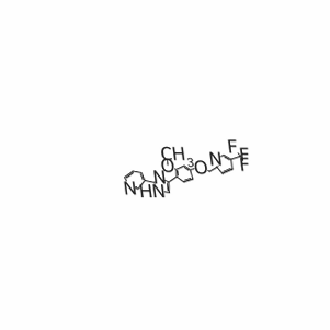 COc1cc(OCc2ccc(C(F)(F)F)cn2)ccc1-c1c[nH]c(-c2cccnc2)n1